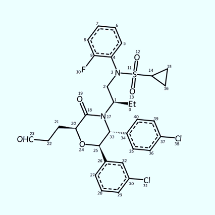 CC[C@H](CN(c1ccccc1F)S(=O)(=O)C1CC1)N1C(=O)[C@H](CCC=O)O[C@H](c2cccc(Cl)c2)[C@H]1c1ccc(Cl)cc1